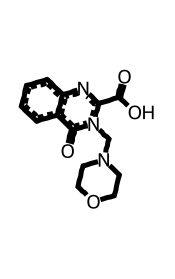 O=C(O)c1nc2ccccc2c(=O)n1CN1CCOCC1